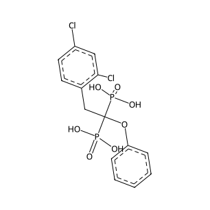 O=P(O)(O)C(Cc1ccc(Cl)cc1Cl)(Oc1ccccc1)P(=O)(O)O